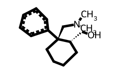 CN(C)C[C@]1(c2ccccc2)CCCC[C@H]1CO